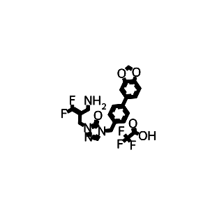 NCC(Cn1ncn(Cc2ccc(-c3ccc4c(c3)OCO4)cc2)c1=O)=C(F)F.O=C(O)C(F)(F)F